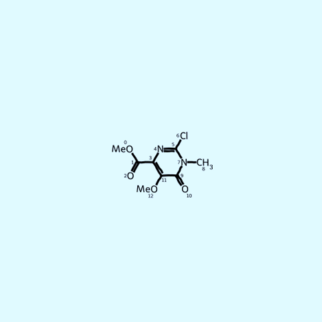 COC(=O)c1nc(Cl)n(C)c(=O)c1OC